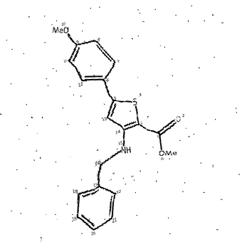 COC(=O)c1sc(-c2ccc(OC)cc2)cc1NCc1ccccc1